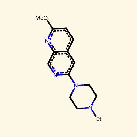 CCN1CCN(c2cc3ccc(OC)nc3cn2)CC1